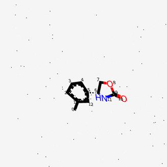 Cc1cccc([C@@H]2COC(=O)N2)c1